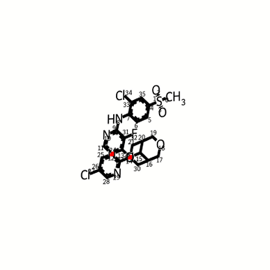 CS(=O)(=O)c1ccc(Nc2ncnc(OC3C4COCC3CN(c3ncc(Cl)cn3)C4)c2F)c(Cl)c1